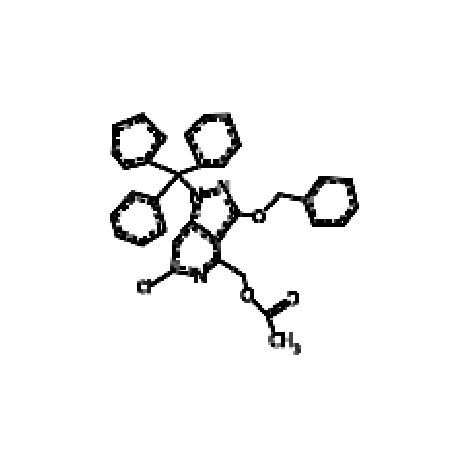 CC(=O)OCc1nc(Cl)cc2c1c(OCc1ccccc1)nn2C(c1ccccc1)(c1ccccc1)c1ccccc1